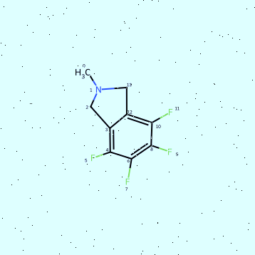 CN1Cc2c(F)c(F)c(F)c(F)c2C1